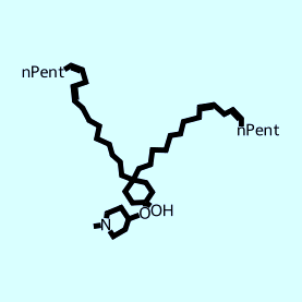 CCCCC/C=C\C/C=C\CCCCCCCCC1(CCCCCCCC/C=C\C/C=C\CCCCC)CCC(O)(OC2CCN(C)CC2)CC1